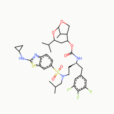 CC(C)CN(CC[C@H](Cc1cc(F)c(F)c(F)c1)NC(=O)OC1CC(C(C)C)OC2OCC1C2C)S(=O)(=O)c1ccc2nc(NC3CC3)sc2c1